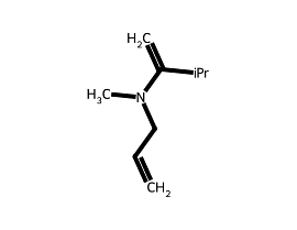 C=CCN(C)C(=C)C(C)C